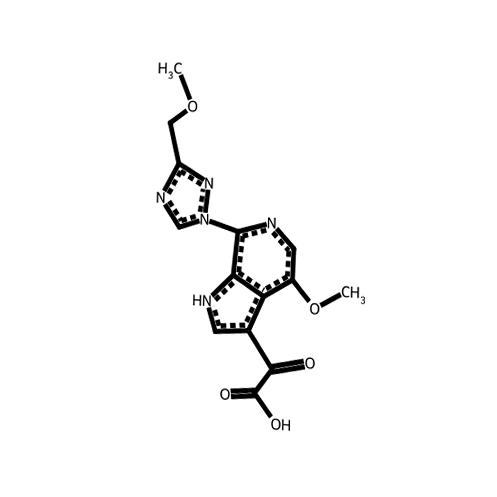 COCc1ncn(-c2ncc(OC)c3c(C(=O)C(=O)O)c[nH]c23)n1